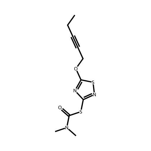 CCC#CCOc1nc(SC(=O)N(C)C)ns1